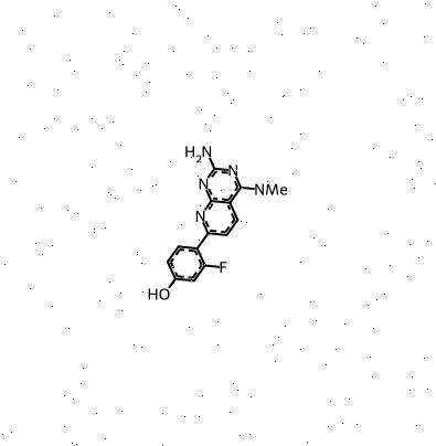 CNc1nc(N)nc2nc(-c3ccc(O)cc3F)ccc12